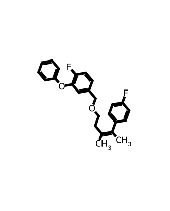 CC(CCOCc1ccc(F)c(Oc2ccccc2)c1)=C(C)c1ccc(F)cc1